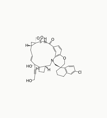 C[C@@]12C[C@H]1C/C=C/[C@](O)(C#CCO)[C@@H]1CC[C@H]1CN1C[C@@]3(CCCc4cc(Cl)ccc43)COc3ccc(cc31)C(=O)NS2(=O)=O